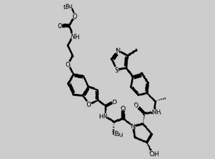 Cc1ncsc1-c1ccc([C@H](C)NC(=O)[C@@H]2C[C@@H](O)CN2C(=O)[C@@H](NC(=O)c2cc3cc(OCCNC(=O)OC(C)(C)C)ccc3o2)C(C)(C)C)cc1